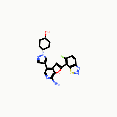 Nc1ncc(-c2cnn([C@H]3CC[C@H](O)CC3)c2)c2cc(-c3c(F)ccc4nnsc34)oc12